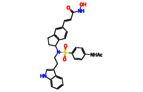 CC(=O)Nc1ccc(S(=O)(=O)N(CCc2c[nH]c3ccccc23)C2CCc3cc(C=CC(=O)NO)ccc32)cc1